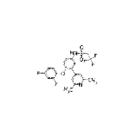 Cc1cc(-c2cc(NS(=O)(=O)CC(F)(F)F)ccc2Oc2ccc(F)cc2F)cc(C)n1